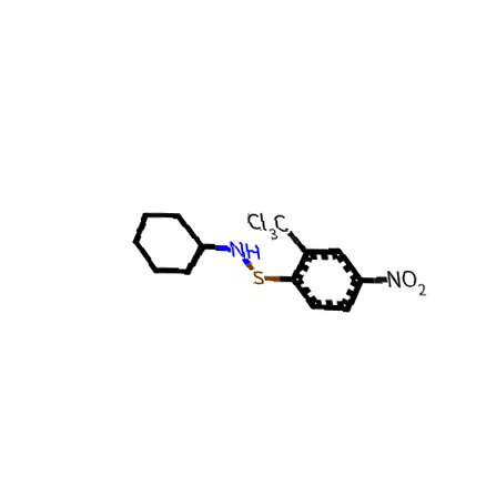 O=[N+]([O-])c1ccc(SNC2CCCCC2)c(C(Cl)(Cl)Cl)c1